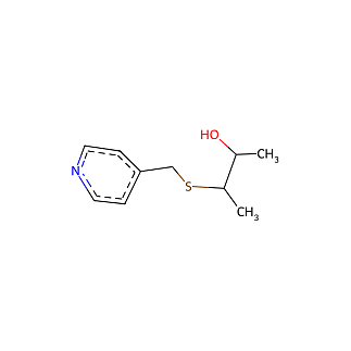 CC(O)C(C)SCc1ccncc1